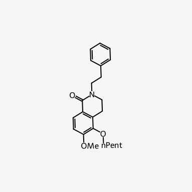 CCCCCOc1c(OC)ccc2c1CCN(CCc1ccccc1)C2=O